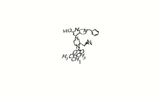 CC(C)(C)OC(=O)N1CCN(c2cc(O)nc3c2CCN(Cc2ccccc2)C3)CC1CC#N